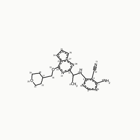 CC(Nc1ncnc(N)c1C#N)c1nc(OCC2CCOCC2)c2cccn2n1